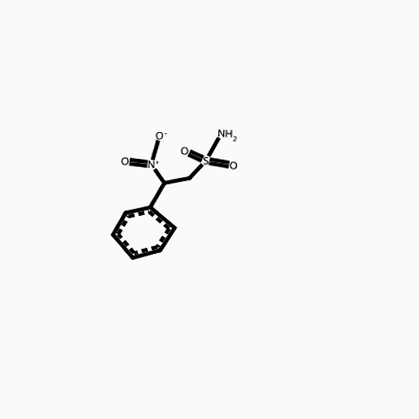 NS(=O)(=O)CC(c1ccccc1)[N+](=O)[O-]